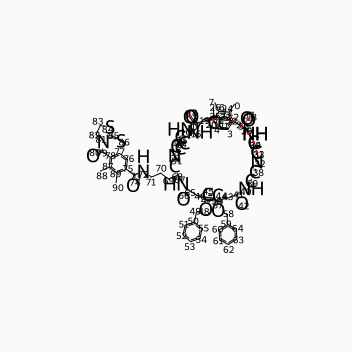 Cc1c2ccc(c1C)C(=O)NCCN1CCNC(=O)c3ccc(c(C)c3C)C(=O)NCCN(CCNC2=O)CCNC(=O)c2ccc(c(OCc3ccccc3)c2OCc2ccccc2)C(=O)NC(CCCNC(=O)c2ccc(C(=O)N3CCSC3=S)c(C)c2C)C1